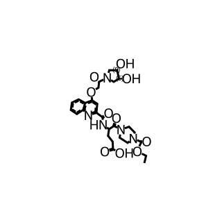 CCOC(=O)N1CCN(C(=O)C(CCC(=O)O)NC(=O)c2cc(OCC(=O)N3C[C@H](O)[C@@H](O)C3)c3ccccc3n2)CC1